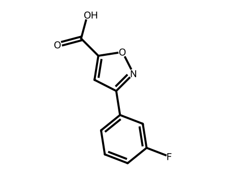 O=C(O)c1cc(-c2cccc(F)c2)no1